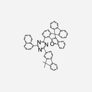 CC1(C)c2ccccc2-c2ccc(-c3nc(-c4cccc5c4-c4oc6ccccc6c4C54c5ccccc5-c5ccccc54)nc(-c4cccc5ccccc45)n3)cc21